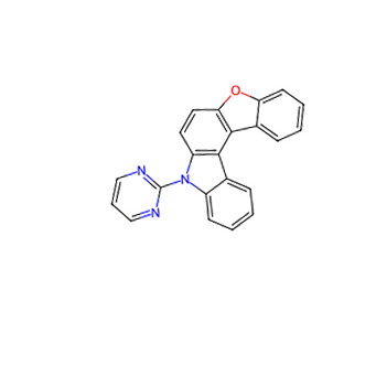 c1cnc(-n2c3ccccc3c3c4c(ccc32)oc2ccccc24)nc1